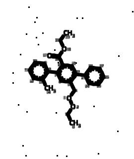 CCOOCc1cc(-c2ccccc2C)c(C(=O)OCC)cc1-c1ccccc1